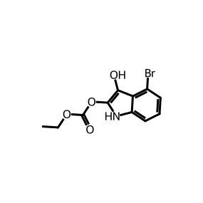 CCOC(=O)Oc1[nH]c2cccc(Br)c2c1O